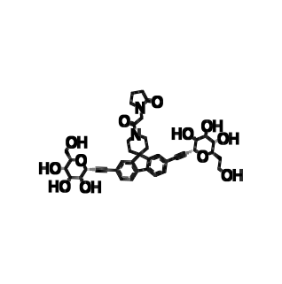 O=C(CN1CCCC1=O)N1CCC2(CC1)c1cc(C#C[C@H]3O[C@H](CO)[C@@H](O)[C@H](O)[C@@H]3O)ccc1-c1ccc(C#C[C@H]3O[C@H](CCO)[C@@H](O)[C@H](O)[C@@H]3O)cc12